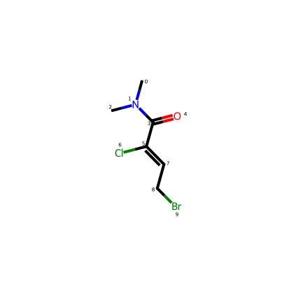 CN(C)C(=O)C(Cl)=CCBr